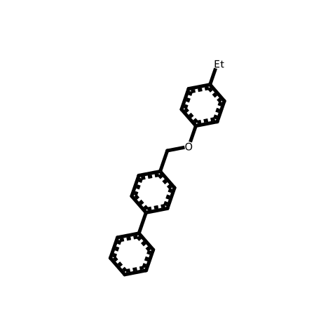 CCc1ccc(OCc2ccc(-c3ccccc3)cc2)cc1